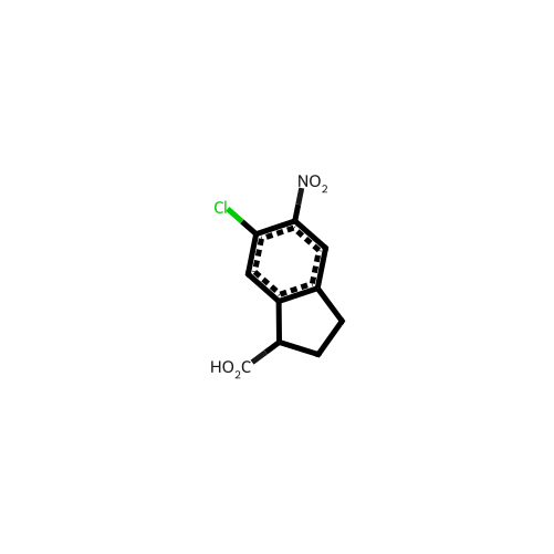 O=C(O)C1CCc2cc([N+](=O)[O-])c(Cl)cc21